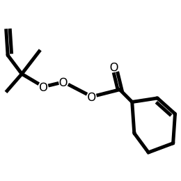 C=CC(C)(C)OOOC(=O)C1C=CCCC1